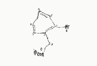 CCCC(C)Cc1ccc[c]c1Br